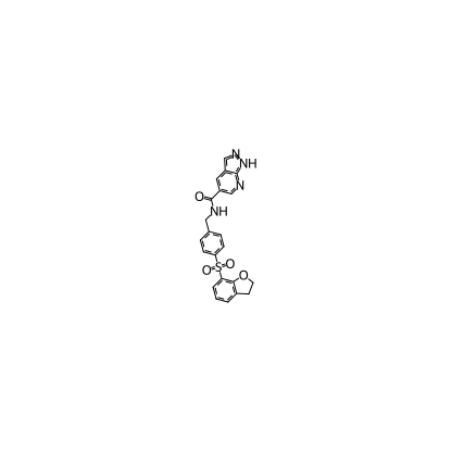 O=C(NCc1ccc(S(=O)(=O)c2cccc3c2OCC3)cc1)c1cnc2[nH]ncc2c1